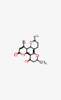 CCCC1CCC2=C3OC(C)CC(=O)C3=C3OC(=O)C=C(CC)C3C2O1